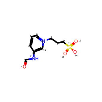 O=CNc1ccc[n+](CCCS(=O)(=O)[O-])c1